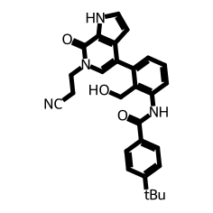 CC(C)(C)c1ccc(C(=O)Nc2cccc(-c3cn(CCC#N)c(=O)c4[nH]ccc34)c2CO)cc1